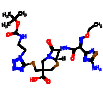 CCON=C(C(=O)NC1C(=O)N2CC(CSc3nnnn3CCNC(=O)OC(C)(C)C)(C(=O)O)CS[C@H]12)c1nsc(N)n1